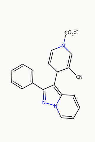 CCOC(=O)N1C=CC(c2c(-c3ccccc3)nn3ccccc23)C(C#N)=C1